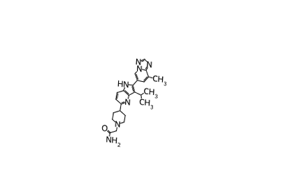 Cc1cc(-c2[nH]c3ccc(C4CCN(CC(N)=O)CC4)nc3c2C(C)C)cn2ncnc12